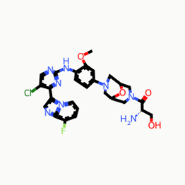 COc1cc(N2CC3CN(C(=O)[C@@H](N)CO)CC(C2)O3)ccc1Nc1ncc(Cl)c(-c2cnc3c(F)cccn23)n1